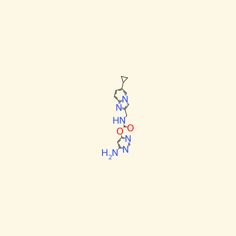 Nc1cc(OC(=O)NCc2cn3cc(C4CC4)ccc3n2)ncn1